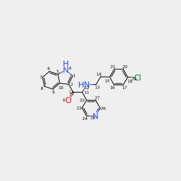 O=C(c1c[nH]c2ccccc12)C(NCCc1ccc(Cl)cc1)c1ccncc1